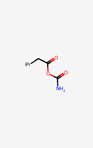 CC(C)CC(=O)OC(N)=O